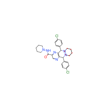 O=C(NN1CCCCC1)c1cnc(C(c2ccc(Cl)cc2)N2CCCCC2)c(C(c2ccc(Cl)cc2)N2CCCCC2)n1